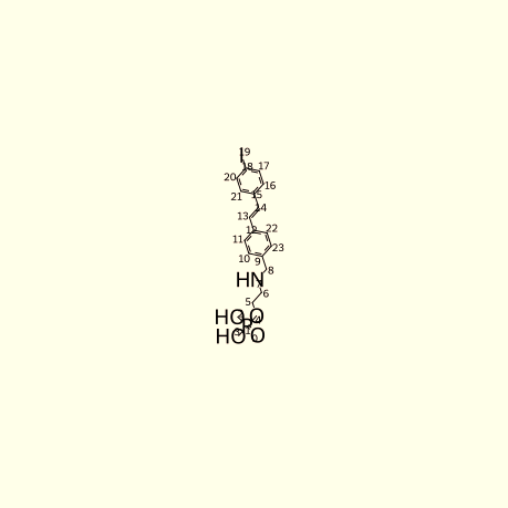 O=P(O)(O)OCCNCc1ccc(/C=C/c2ccc(I)cc2)cc1